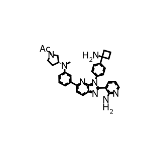 CC(=O)N1CC[C@@H](N(C)c2cccc(-c3ccc4nc(-c5cccnc5N)n(-c5ccc(C6(N)CCC6)cc5)c4n3)c2)C1